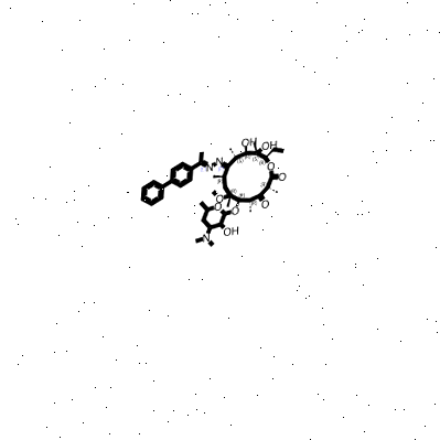 CC[C@H]1OC(=O)[C@H](C)C(=O)[C@H](C)[C@@H](OC2OC(C)CC(N(C)C)C2O)[C@](C)(OC)C[C@@H](C)/C(=N\N=C(/C)c2ccc(-c3ccccc3)cc2)[C@H](C)[C@@H](O)[C@]1(C)O